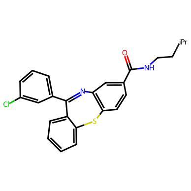 CC(C)CCNC(=O)c1ccc2c(c1)N=C(c1cccc(Cl)c1)c1ccccc1S2